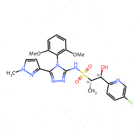 COc1cccc(OC)c1-n1c(NS(=O)(=O)[C@@H](C)[C@@H](O)c2ccc(F)cn2)nnc1-c1ccn(C)n1